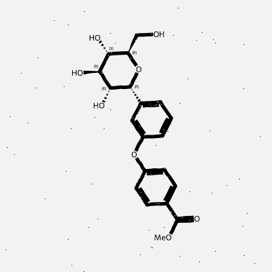 COC(=O)c1ccc(Oc2cccc([C@H]3O[C@H](CO)[C@@H](O)[C@H](O)[C@H]3O)c2)cc1